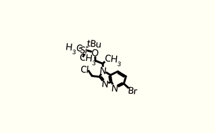 CC(CO[Si](C)(C)C(C)(C)C)n1c(CCl)nc2nc(Br)ccc21